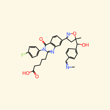 C/N=C\c1ccc(C(O)C2(C)CC(c3ccc4c(=O)n(-c5ccc(F)cc5)c(CCCCC(=O)O)nc4c3)=NO2)cc1